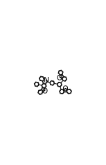 c1ccc(-c2c3c(cc4c(-c5ccc(-c6cc(-c7cccc8c7oc7ccccc78)cc(-c7cccc8c7oc7ccccc78)c6)cc5)nc5ccccc5c24)oc2ccccc23)cc1